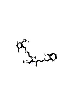 Cc1nc[nH]c1CSCCN/C(=C\C#N)NCCSCc1ncccc1Cl